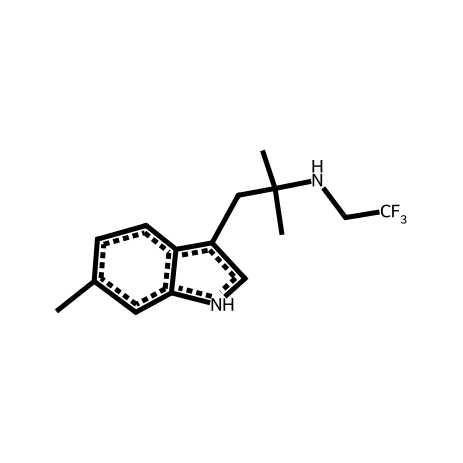 Cc1ccc2c(CC(C)(C)NCC(F)(F)F)c[nH]c2c1